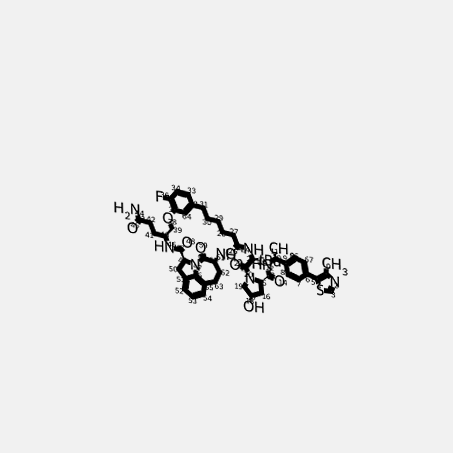 Cc1ncsc1-c1ccc([C@H](C)NC(=O)[C@@H]2C[C@@H](O)CN2C(=O)[C@@H](NC(=O)CCCCCc2ccc(F)c(OC[C@H](CCC(N)=O)NC(=O)[C@@H]3Cc4cccc5c4N3C(=O)[C@@H](N)CC5)c2)C(C)(C)C)cc1